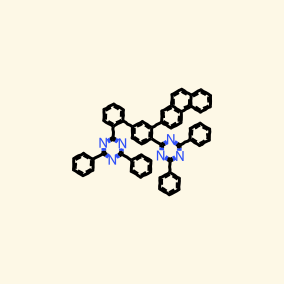 c1ccc(-c2nc(-c3ccccc3)nc(-c3ccccc3-c3ccc(-c4nc(-c5ccccc5)nc(-c5ccccc5)n4)c(-c4ccc5c(ccc6ccccc65)c4)c3)n2)cc1